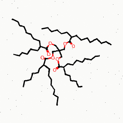 CCCCCCCCC(CCCCCC)C(=O)OCC(COC(=O)C(CCCCCC)CCCCCCCC)(COC(=O)C(CCCCCC)CCCCCCCC)COC(=O)C(CCCCCC)CCCCCCCC